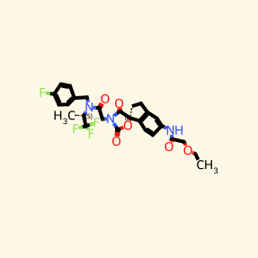 CCOCC(=O)Nc1ccc2c(c1)CC[C@@]21OC(=O)N(CC(=O)N(Cc2ccc(F)cc2)[C@@H](C)C(F)(F)F)C1=O